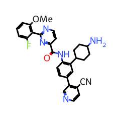 COc1cccc(F)c1-c1nccc(C(=O)Nc2ccc(-c3cnccc3C#N)cc2C2CCC(N)CC2)n1